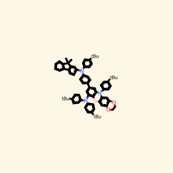 CC(C)(C)c1ccc(N(c2ccc(-c3cc4c5c(c3)N(c3ccc(C(C)(C)C)cc3)c3cc6c(cc3B5c3cc(C(C)(C)C)ccc3N4c3ccc(C(C)(C)C)cc3)OCCO6)cc2)c2ccc3c(c2)C(C)(C)c2ccccc2-3)cc1